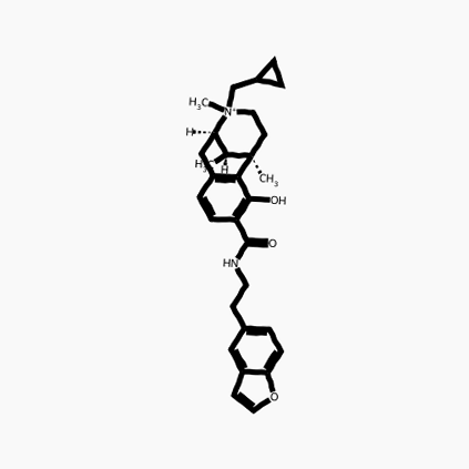 C[C@H]1[C@H]2Cc3ccc(C(=O)NCCc4ccc5occc5c4)c(O)c3[C@]1(C)CC[N+]2(C)CC1CC1